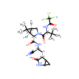 CC(C)(C)[C@H](NC(=O)C(F)(F)F)C(=O)N1C[C@H]2[C@@H]([C@H]1C(=O)N[C@H](C#N)C[C@H]1C(=O)NC3CC31)C2(C)C